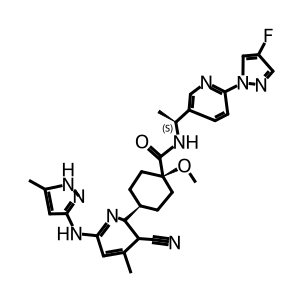 CO[C@]1(C(=O)N[C@@H](C)c2ccc(-n3cc(F)cn3)nc2)CC[C@H](C2N=C(Nc3cc(C)[nH]n3)C=C(C)C2C#N)CC1